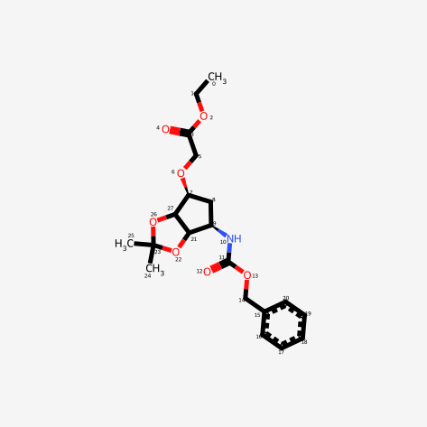 CCOC(=O)CO[C@H]1C[C@@H](NC(=O)OCc2ccccc2)C2OC(C)(C)OC21